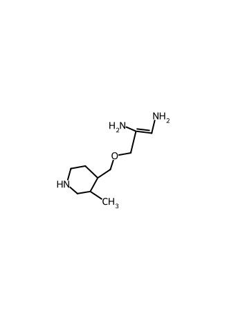 CC1CNCCC1COC/C(N)=C/N